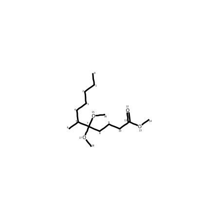 CCCCCC(C)C(CCCC(=O)OC)(OC)OC